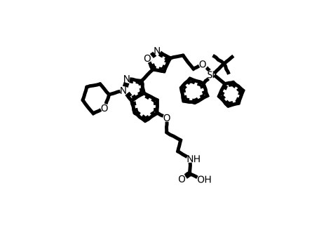 CC(C)(C)[Si](OCCc1cc(-c2nn(C3CCCCO3)c3ccc(OCCCNC(=O)O)cc23)on1)(c1ccccc1)c1ccccc1